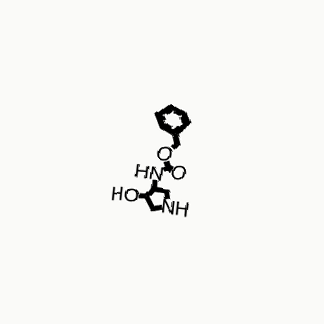 O=C(NC1CNCC1O)OCc1ccccc1